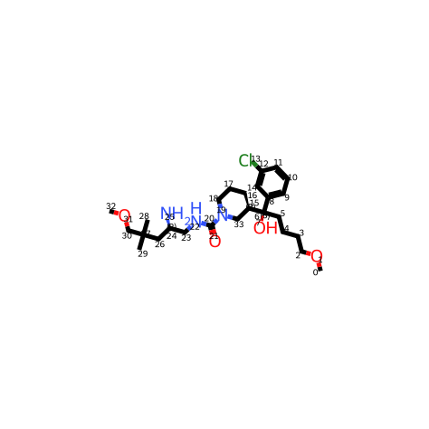 COCCCC[C@@](O)(c1cccc(Cl)c1)[C@@H]1CCCN(C(=O)NC[C@H](N)CC(C)(C)COC)C1